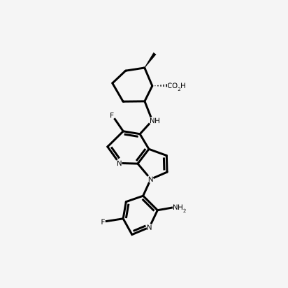 C[C@@H]1CCCC(Nc2c(F)cnc3c2ccn3-c2cc(F)cnc2N)[C@H]1C(=O)O